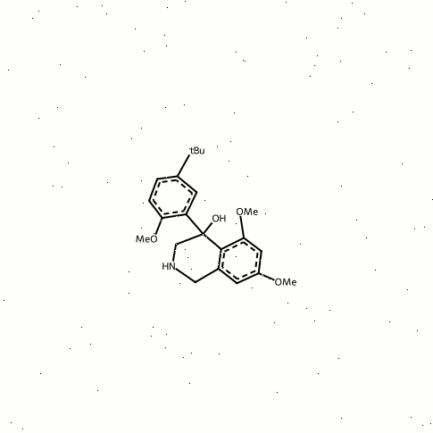 COc1cc2c(c(OC)c1)C(O)(c1cc(C(C)(C)C)ccc1OC)CNC2